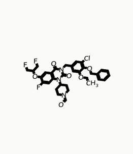 CCOc1cc(Cn2c(=O)c3cc(OC(CF)CF)c(F)cc3n(C3CCN(C=O)CC3)c2=O)cc(Cl)c1OCc1ccccc1